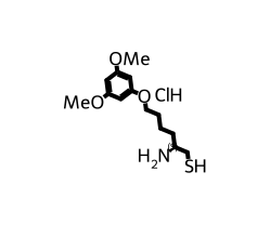 COc1cc(OC)cc(OCCCC[C@H](N)CS)c1.Cl